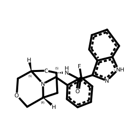 O=C(N[C@H]1C[C@H]2COC[C@@H](C1)N2Cc1ccccc1F)c1n[nH]c2ccccc12